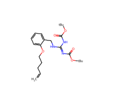 C=CCCCOc1ccccc1CN/C(=N/C(=O)OC(C)(C)C)NC(=O)OC(C)(C)C